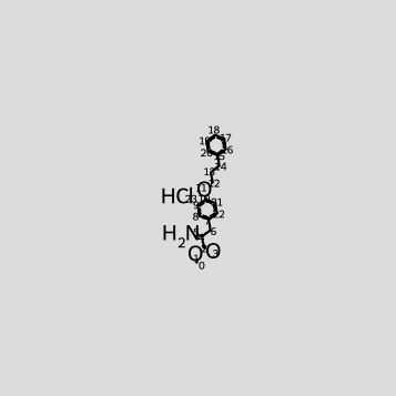 COC(=O)C(N)Cc1ccc(OCCCc2ccccc2)cc1.Cl